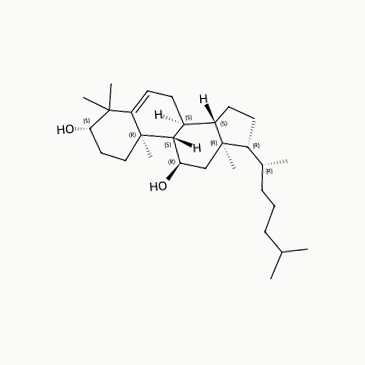 CC(C)CCC[C@@H](C)[C@H]1CC[C@H]2[C@@H]3CC=C4C(C)(C)[C@@H](O)CC[C@]4(C)[C@H]3[C@H](O)C[C@]12C